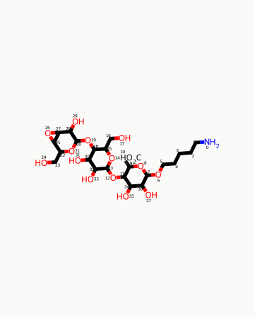 NCCCCCOC1OC(C(=O)O)C(OC2OC(CO)C(OC3OC(CO)C4OC4C3O)C(O)C2O)C(O)C1O